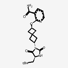 CC(C)(C)C[C@@H]1NC(=O)N([C@H]2CC3(C[C@H](Oc4ncccc4C(N)=O)C3)C2)C1=O